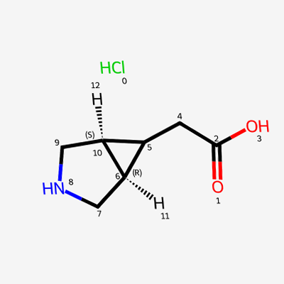 Cl.O=C(O)CC1[C@H]2CNC[C@@H]12